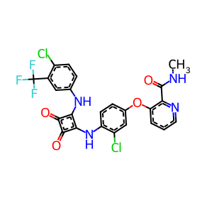 CNC(=O)c1ncccc1Oc1ccc(Nc2c(Nc3ccc(Cl)c(C(F)(F)F)c3)c(=O)c2=O)c(Cl)c1